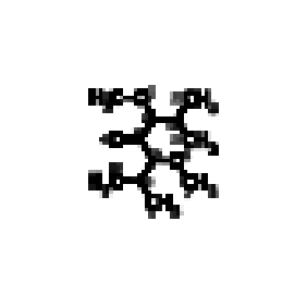 COC(C(=O)C(OC)C(C)C)C(C)C